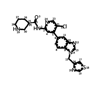 O=C(Nc1cc(-c2ccc3c(c2)ncn3Cc2cscn2)c(Cl)cn1)[C@@H]1CCCNC1